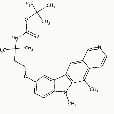 Cc1c2ccncc2cc2c3cc(OCCC(C)(C)NC(=O)OC(C)(C)C)ccc3n(C)c12